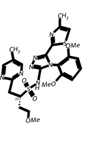 COCC[C@H](Cc1ncc(C)cn1)S(=O)(=O)Nc1nnc(-c2nc(C)cs2)n1-c1c(OC)cccc1OC